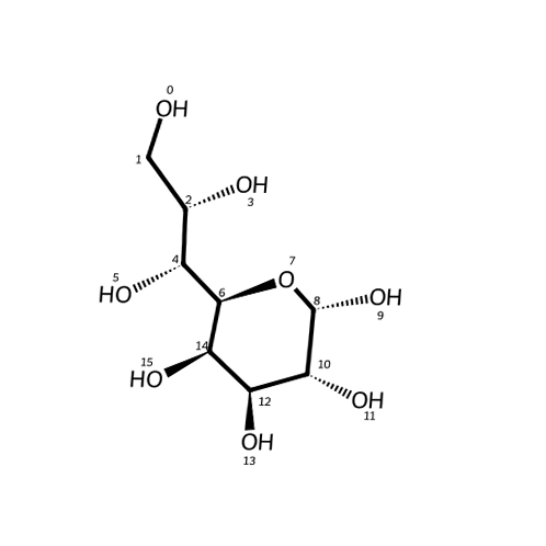 OC[C@H](O)[C@@H](O)[C@H]1O[C@H](O)[C@H](O)[C@@H](O)[C@H]1O